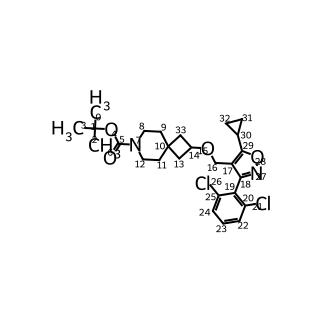 CC(C)(C)OC(=O)N1CCC2(CC1)CC(OCc1c(-c3c(Cl)cccc3Cl)noc1C1CC1)C2